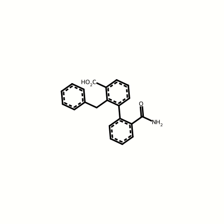 NC(=O)c1ccccc1-c1cccc(C(=O)O)c1Cc1ccccc1